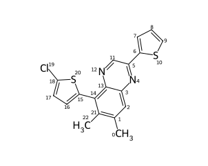 Cc1cc2nc(-c3cccs3)cnc2c(-c2ccc(Cl)s2)c1C